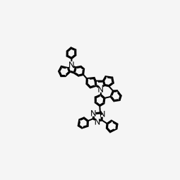 c1ccc(-c2nc(-c3ccccc3)nc(-c3ccc4c(c3)-c3ccccc3-c3cccc5c6cc(-c7ccc8c(c7)c7ccccc7n8-c7ccccc7)ccc6n-4c35)n2)cc1